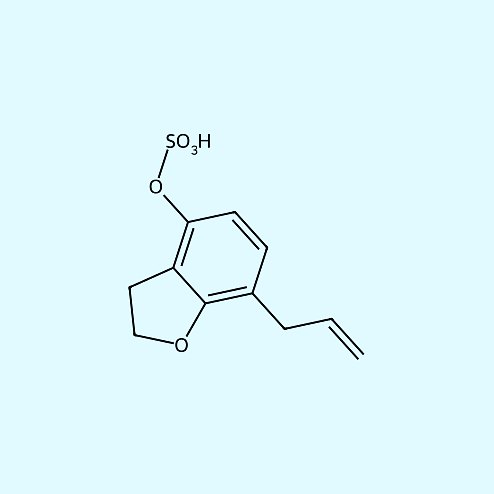 C=CCc1ccc(OS(=O)(=O)O)c2c1OCC2